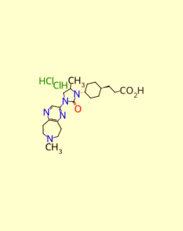 CC1CN(c2cnc3c(n2)CCN(C)CC3)C(=O)N1[C@H]1CC[C@H](CCC(=O)O)CC1.Cl.Cl